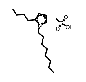 CCCCCCCCn1cccc1CCCC.CS(=O)(=O)O